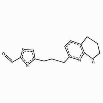 O=Cc1nc(CCCc2ccc3c(n2)NCCC3)cs1